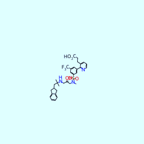 CN(C[C@H](O)CNC(C)(C)CC1Cc2ccccc2C1)S(=O)(=O)c1cc(-c2ncccc2CCC(=O)O)cc(C(F)(F)F)c1